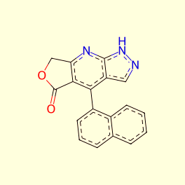 O=C1OCc2nc3[nH]ncc3c(-c3cccc4ccccc34)c21